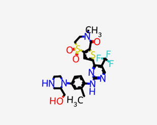 CCc1cc(N2CCNCC2CO)ccc1Nc1ncc(C(F)(F)F)c(-c2cc3c(s2)C(=O)N(C)CCS3(=O)=O)n1